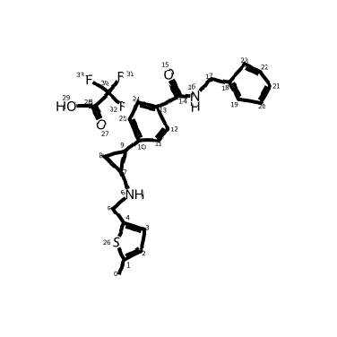 Cc1ccc(CNC2CC2c2ccc(C(=O)NCc3ccccc3)cc2)s1.O=C(O)C(F)(F)F